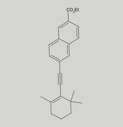 CCOC(=O)c1ccc2cc(C#CC3=C(C)CCCC3(C)C)ccc2c1